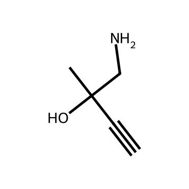 C#CC(C)(O)CN